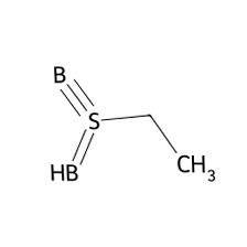 B#S(=B)CC